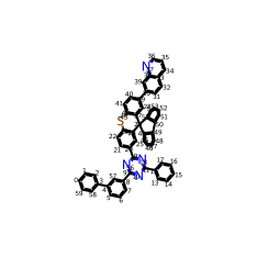 c1ccc(-c2cccc(-c3nc(-c4ccccc4)nc(-c4ccc5c(c4)C4(c6cc(-c7ccc8cccnc8c7)ccc6S5)c5ccccc5-c5ccccc54)n3)c2)cc1